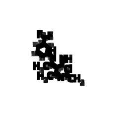 C=C(Cl)/N=C(C)\C(C=N)=C(/C)Nc1cccc(C(F)F)c1